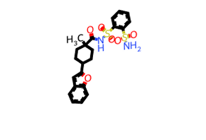 CC1(C(=O)NS(=O)(=O)c2ccccc2S(N)(=O)=O)CCC(c2cc3ccccc3o2)CC1